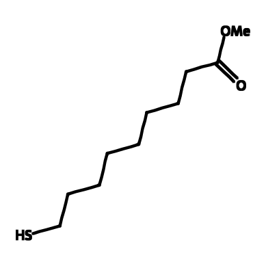 COC(=O)CCCCCCCCS